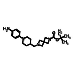 CC(C)(C)OC(=O)N1CC2(CN(CC3CCN(c4ccc(N)cc4)CC3)C2)C1